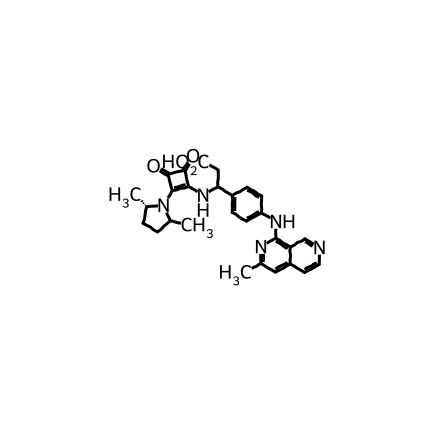 Cc1cc2ccncc2c(Nc2ccc(C(CC(=O)O)Nc3c(N4C(C)CC[C@@H]4C)c(=O)c3=O)cc2)n1